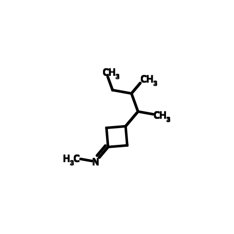 CCC(C)C(C)C1CC(=NC)C1